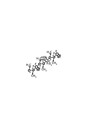 CC#Cc1ccsc1-c1sc(-c2c(F)c(F)c(-c3cc(C#CC)c(-c4sc(C5=C(F)C(C)=C(c6cc(C#CC)c(-c7sc(-c8c(F)c(F)cc9nonc89)cc7C#CC)s6)/C(=N/O)C5=N)cc4C#CC)s3)c3nonc23)cc1C#CC